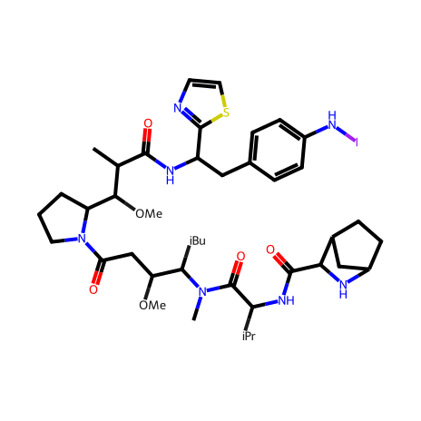 CCC(C)C(C(CC(=O)N1CCCC1C(OC)C(C)C(=O)NC(Cc1ccc(NI)cc1)c1nccs1)OC)N(C)C(=O)C(NC(=O)C1NC2CCC1C2)C(C)C